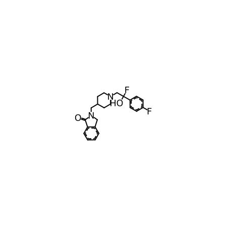 O=C1c2ccccc2CN1CC1CCN(CC(O)(F)c2ccc(F)cc2)CC1